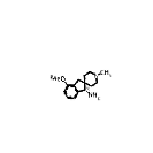 COc1cccc2c1CC1(CCN(C)CC1)[C@@H]2N